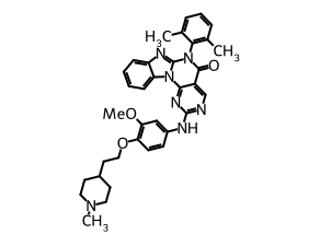 COc1cc(Nc2ncc3c(=O)n(-c4c(C)cccc4C)c4nc5ccccc5n4c3n2)ccc1OCCC1CCN(C)CC1